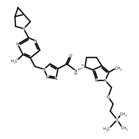 Cc1nc(N2CC3CC3C2)ncc1Cn1cc(C(=O)N[C@@H]2CCc3c2nn(COCCS(C)(C)C)c3C)nn1